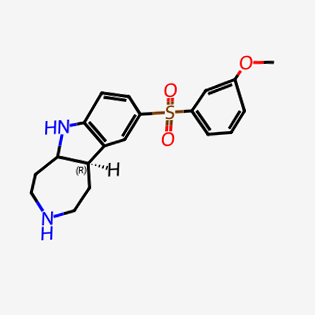 COc1cccc(S(=O)(=O)c2ccc3c(c2)[C@H]2CCNCCC2N3)c1